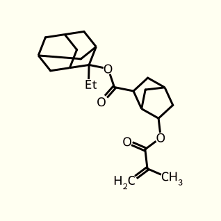 C=C(C)C(=O)OC1CC2CC(C(=O)OC3(CC)C4CC5CC(C4)CC3C5)C1C2